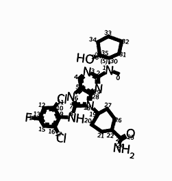 CN(c1ncc2nc(Nc3c(Cl)cc(F)cc3Cl)n(C3CCC(C(N)=O)CC3)c2n1)[C@H]1CCCC[C@@H]1O